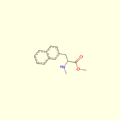 CNC(Cc1ccc2ccccc2c1)C(=O)OC